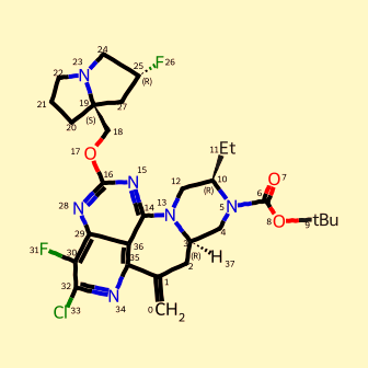 C=C1C[C@@H]2CN(C(=O)OC(C)(C)C)[C@H](CC)CN2c2nc(OC[C@@]34CCCN3C[C@H](F)C4)nc3c(F)c(Cl)nc1c23